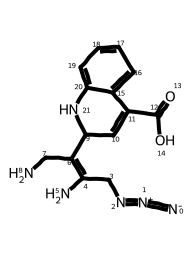 [N-]=[N+]=NC/C(N)=C(/CN)C1C=C(C(=O)O)c2ccccc2N1